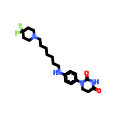 O=C1CCN(c2ccc(NCCCCCCCN3CCC(F)(F)CC3)cc2)C(=O)N1